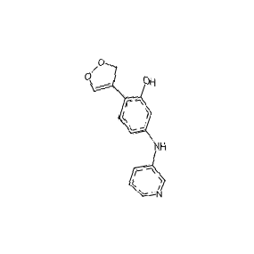 Oc1cc(Nc2cccnc2)ccc1C1=COOC1